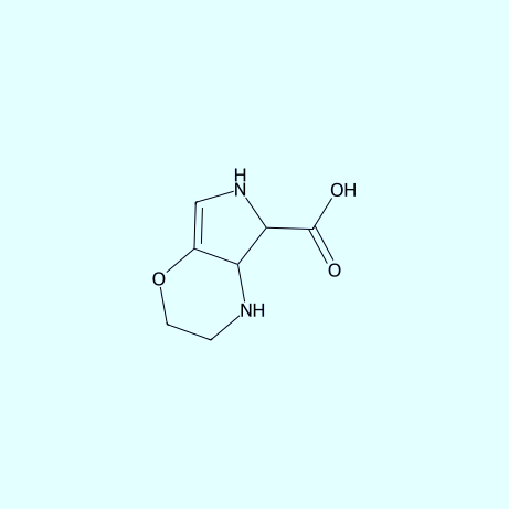 O=C(O)C1NC=C2OCCNC21